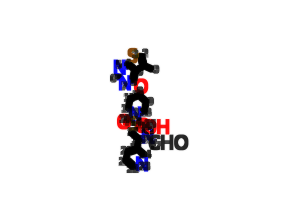 Cc1csc2ncnc(OC3CCN(S(=O)(=O)CC(c4cccnc4)N(O)C=O)CC3)c12